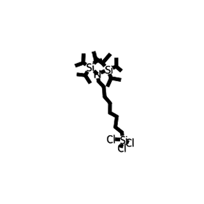 CC(C)[Si](C(C)C)(C(C)C)N(CCCCCCCC[Si](Cl)(Cl)Cl)[Si](C(C)C)(C(C)C)C(C)C